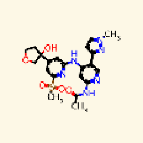 CC(=O)Nc1cc(Nc2cc(C3(O)CCOC3)cc(S(C)(=O)=O)n2)c(-c2ccn(C)n2)cn1